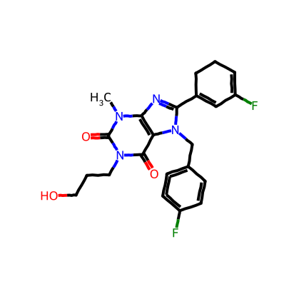 Cn1c(=O)n(CCCO)c(=O)c2c1nc(C1=CC(F)=CCC1)n2CC1=C=C=C(F)C=C1